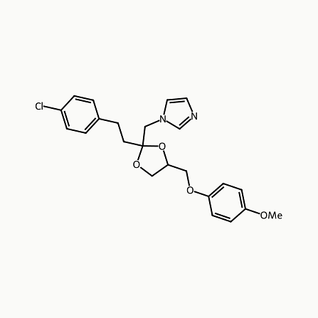 COc1ccc(OCC2COC(CCc3ccc(Cl)cc3)(Cn3ccnc3)O2)cc1